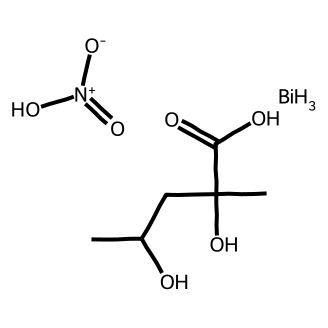 CC(O)CC(C)(O)C(=O)O.O=[N+]([O-])O.[BiH3]